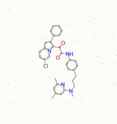 Cc1cc(C)nc(N(C)CCCc2ccc(NC(=O)C(=O)c3c(-c4ccccc4)cc4ccc(Cl)cn34)cc2)c1